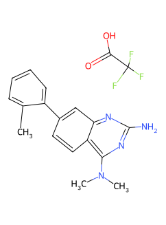 Cc1ccccc1-c1ccc2c(N(C)C)nc(N)nc2c1.O=C(O)C(F)(F)F